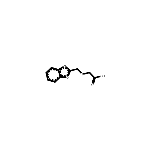 O=C(O)CSCc1nc2ccccc2o1